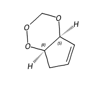 C1=C[C@@H]2OCOO[C@@H]2C1